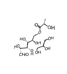 CC(O)C(=O)OC[C@@H](O)[C@@H](O)[C@H](O)[C@@H](O)C=O.OCC(O)CO